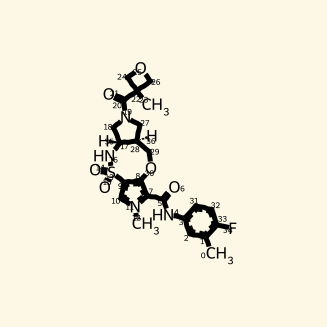 Cc1cc(NC(=O)c2c3c(cn2C)S(=O)(=O)N[C@@H]2CN(C(=O)C4(C)COC4)C[C@H]2CO3)ccc1F